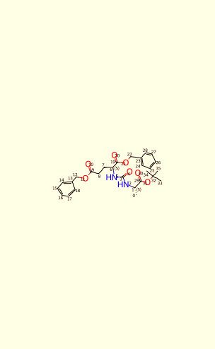 C[C@H](NC(=O)N[C@@H](CCC(=O)OCc1ccccc1)C(=O)OCc1ccccc1)C(=O)OC(C)(C)C